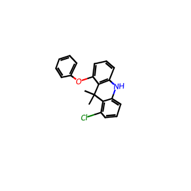 CC1(C)c2c(Cl)cccc2Nc2cccc(Oc3ccccc3)c21